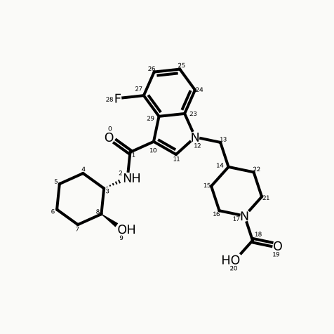 O=C(N[C@H]1CCCC[C@@H]1O)c1cn(CC2CCN(C(=O)O)CC2)c2cccc(F)c12